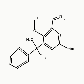 C=Cc1cc(C(C)(C)C)cc(C(C)(C)c2ccccc2)c1OS